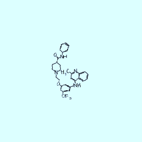 Cc1cc(Nc2cc(OCCN3CCC(C(=O)Nc4ccccc4)CC3)cc(C(F)(F)F)c2)c2ccccc2n1